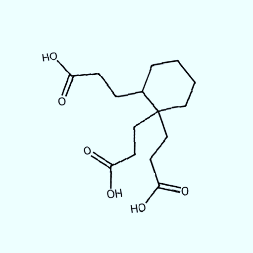 O=C(O)CCC1CCCCC1(CCC(=O)O)CCC(=O)O